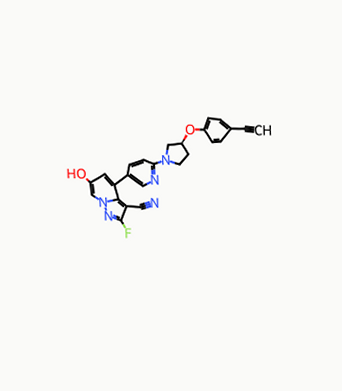 C#Cc1ccc(O[C@H]2CCN(c3ccc(-c4cc(O)cn5nc(F)c(C#N)c45)cn3)C2)cc1